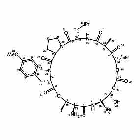 CC[C@H](C)[C@H]1NC(=O)[C@@H](N)[C@@H](C)OC(=O)[C@H](Cc2ccc(OC)cc2)N(C)C(=O)C2CCCN2C(=O)[C@H](CC(C)C)NC(=O)[C@@H](C)C(=O)[C@H](C(C)C)OC(=O)C[C@@H]1O